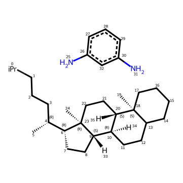 CC(C)CCC[C@@H](C)[C@H]1CC[C@H]2[C@@H]3CCC4CCCC[C@]4(C)[C@H]3CC[C@]12C.Nc1cccc(N)c1